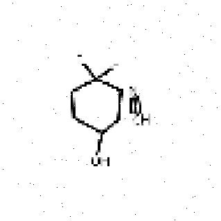 C#N.OC1CCC(F)(F)CC1